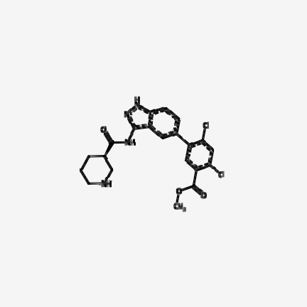 COC(=O)c1cc(-c2ccc3[nH]nc(NC(=O)[C@@H]4CCCNC4)c3c2)c(Cl)cc1Cl